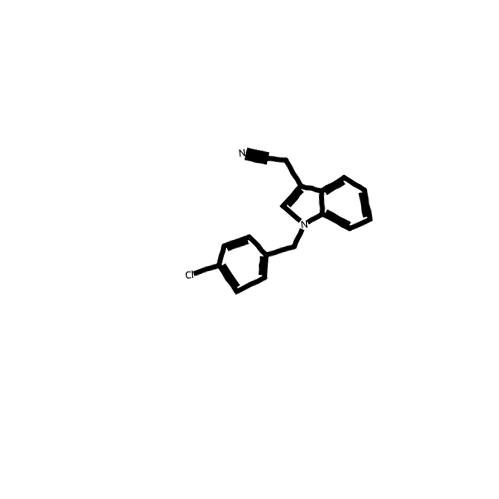 N#CCc1cn(Cc2ccc(Cl)cc2)c2ccccc12